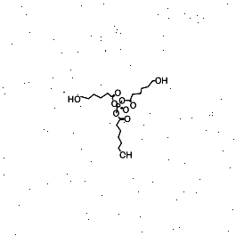 O=C(CCCCCO)OP(=O)(OC(=O)CCCCCO)OC(=O)CCCCCO